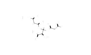 C=C(C(=O)O)C(C)(OC(=O)CC(C)=O)OC(=O)CC(C)=O